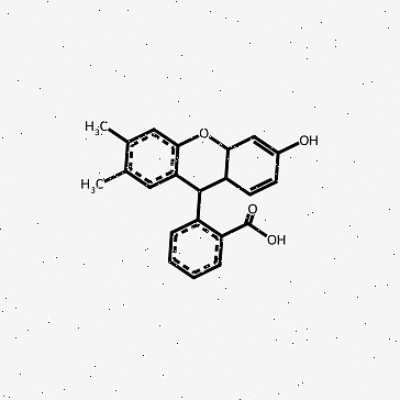 Cc1cc2c(cc1C)C(c1ccccc1C(=O)O)C1C=CC(O)=CC1O2